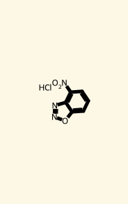 Cl.O=[N+]([O-])c1cccc2onnc12